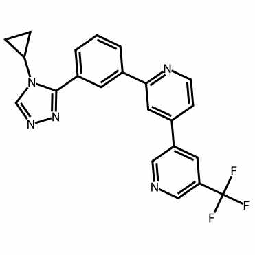 FC(F)(F)c1cncc(-c2ccnc(-c3cccc(-c4nncn4C4CC4)c3)c2)c1